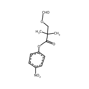 CC(C)(COC=O)C(=O)Oc1ccc([N+](=O)[O-])cc1